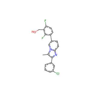 Cc1c(-c2cccc(Cl)c2)nc2ccc(-c3ccc(F)c(CO)c3F)cn12